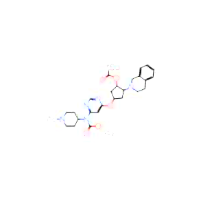 CC(=O)N1CCC(N(C(=O)OC(C)(C)C)c2cc(OC3CC(OC(=O)C(C)(C)C)C(N4CCc5ccccc5C4)C3)ncn2)CC1